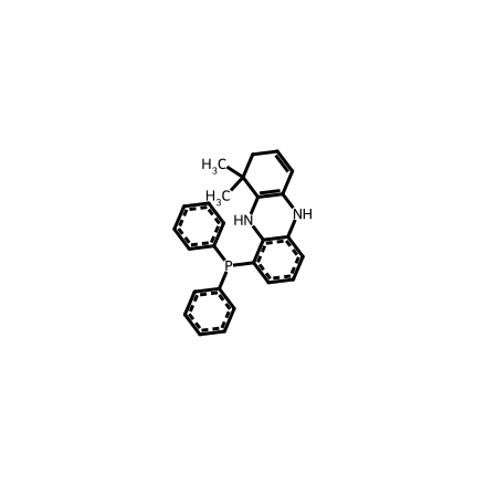 CC1(C)CC=CC2=C1Nc1c(cccc1P(c1ccccc1)c1ccccc1)N2